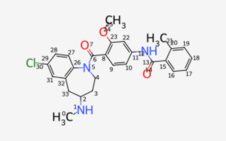 CNC1CCN(C(=O)c2ccc(NC(=O)c3ccccc3C)cc2OC)c2ccc(Cl)cc2C1